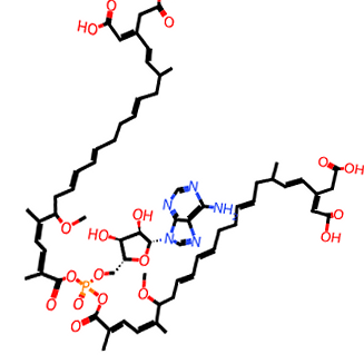 COC(CC=CC=CCCC=CCC(C)C=CC(=CC(=O)O)CC(=O)O)C(C)=CC=C(C)C(=O)OP(=O)(OC[C@H]1O[C@@H](n2cnc3c(N)ncnc32)[C@H](O)[C@@H]1O)OC(=O)C(C)=CC=C(C)C(CC=CC=CCCC=CCC(C)C=CC(=CC(=O)O)CC(=O)O)OC